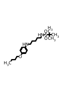 CCCCOc1ccc(NCCCCCNS(=O)(=O)C(C)(C)C)cc1